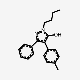 CCCCn1nc(-c2ccccc2)c(-c2ccc(C)cc2)c1O